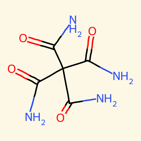 NC(=O)C(C(N)=O)(C(N)=O)C(N)=O